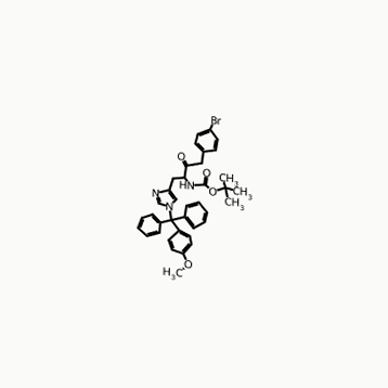 COc1ccc(C(c2ccccc2)(c2ccccc2)n2cnc(CC(NC(=O)OC(C)(C)C)C(=O)Cc3ccc(Br)cc3)c2)cc1